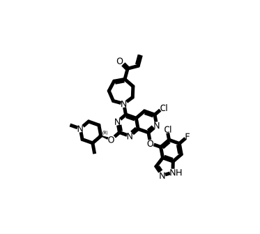 C=CC(=O)C1=CCCN(c2nc(O[C@@H]3CCN(C)CC3C)nc3c(Oc4c(Cl)c(F)cc5[nH]ncc45)nc(Cl)cc23)CC1